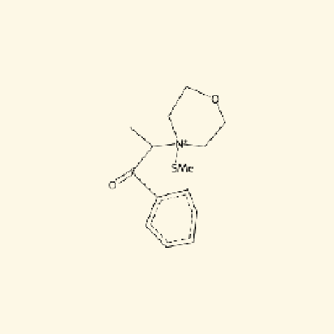 CS[N+]1(C(C)C(=O)c2ccccc2)CCOCC1